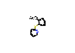 CC(=O)Oc1ccccc1Sc1ccccn1